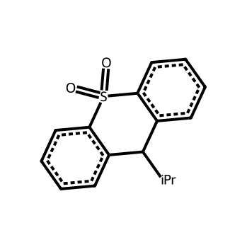 CC(C)C1c2ccccc2S(=O)(=O)c2ccccc21